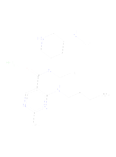 CSCCCNc1nc(C(C)(C)C)ncc1C(=O)N(CC(C)C)[C@@H]1CNC[C@H](NC(=O)O)C1.Cl.Cl